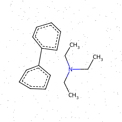 CCN(CC)CC.c1ccc(-c2ccccc2)cc1